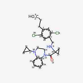 O=C(O)CCc1cc(Cl)c(CNC2(C(=O)N3CCN(C4CC4)c4ccccc43)CC2)cc1Cl